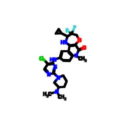 CN(C)C1CCCN(c2ncc(Cl)c(Nc3ccc4c(c3)c3c(c(=O)n4C)OCC(F)(F)C(C4CC4)N3)n2)C1